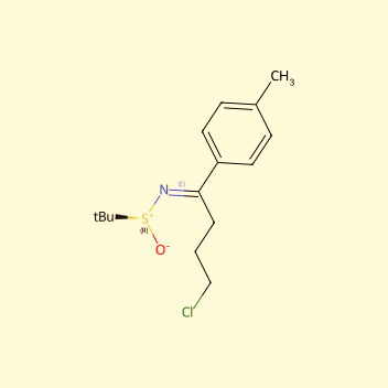 Cc1ccc(/C(CCCCl)=N/[S@@+]([O-])C(C)(C)C)cc1